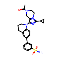 CC(=O)N1CCn2c(C3CC3)nc(N3CCCc4cc(-c5cccc(S(N)(=O)=O)c5)ccc43)c2C1